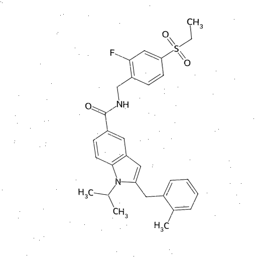 CCS(=O)(=O)c1ccc(CNC(=O)c2ccc3c(c2)cc(Cc2ccccc2C)n3C(C)C)c(F)c1